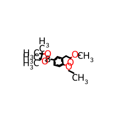 CCCOc1ccc(B2OC(C)(C)C(C)(C)O2)cc1CC(=O)OC